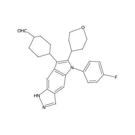 O=CC1CCC(c2c(C3CCOCC3)n(-c3ccc(F)cc3)c3cc4cn[nH]c4cc23)CC1